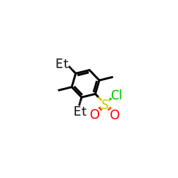 CCc1cc(C)c(S(=O)(=O)Cl)c(CC)c1C